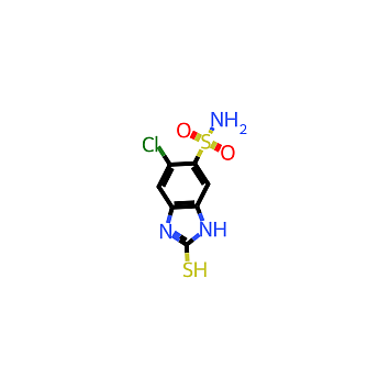 NS(=O)(=O)c1cc2[nH]c(S)nc2cc1Cl